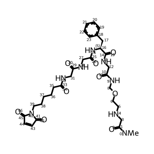 CNC(=O)CNCCOCNC(=O)CNC(=O)[C@H](Cc1ccccc1)NC(=O)CNC(=O)CNC(=O)CCCCCN1C(=O)C=CC1=O